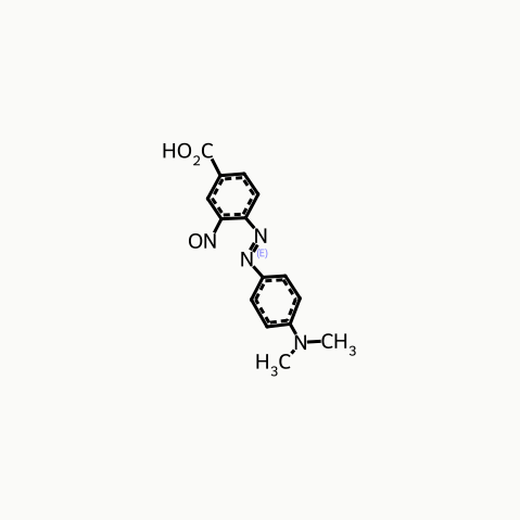 CN(C)c1ccc(/N=N/c2ccc(C(=O)O)cc2N=O)cc1